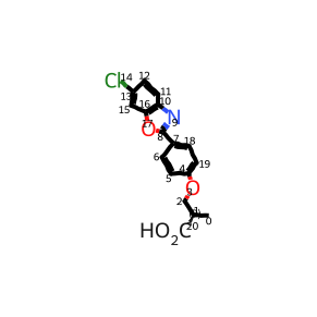 C[C@H](COc1ccc(-c2nc3ccc(Cl)cc3o2)cc1)C(=O)O